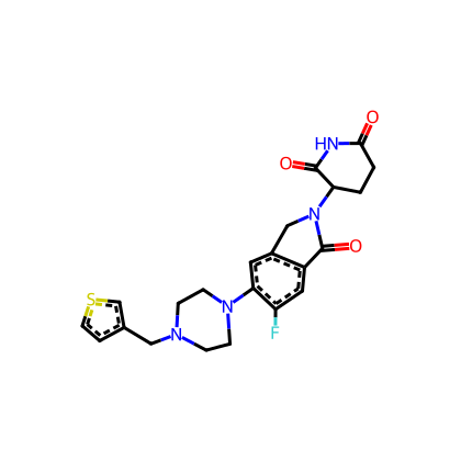 O=C1CCC(N2Cc3cc(N4CCN(Cc5ccsc5)CC4)c(F)cc3C2=O)C(=O)N1